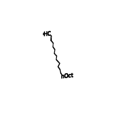 [CH]/C=C/CCCCCCCCCCCCCCCCCC